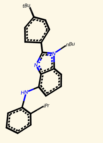 CCCCn1c(-c2ccc(C(C)(C)C)cc2)nc2c(Nc3ccccc3C(C)C)cccc21